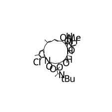 C=C1NC2(O)C[C@H](O1)[C@@H](C)[C@@H]1O[C@@]1(C)[C@@H](OC(=O)[C@H](C)N(C)C(C)(C)C)CC(=O)N(C)c1cc(cc(C)c1Cl)C/C(C)=C/C=C/[C@H]2OC